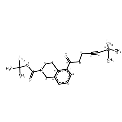 CC(C)(C)OC(=O)N1CCc2c(cccc2C(=O)CCC#C[Si](C)(C)C)C1